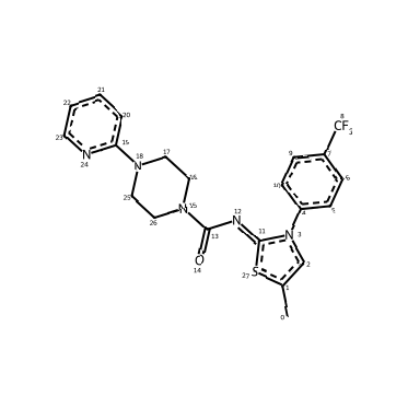 Cc1cn(-c2ccc(C(F)(F)F)cc2)c(=NC(=O)N2CCN(c3ccccn3)CC2)s1